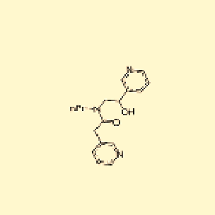 CCCN(CC(O)c1cccnc1)C(=O)Cc1cccnc1